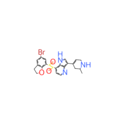 CC1CC(c2c[nH]c3c(S(=O)(=O)c4cc(Br)cc5c4OCC5)ccnc23)=CCN1